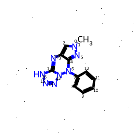 Cn1cc2c(n1)N(c1ccccc1)N1N=NNC1=N2